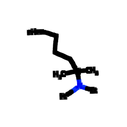 CCCCCCCCC[Si](C)(C)N(CC)CC